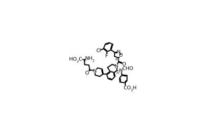 N[C@@H](CCC(=O)N1CC=C(c2cccc3c2CCN(C(=O)[C@H]2CC(c4cccc(Cl)c4F)=NO2)[C@@H]3N(C=O)c2ccc(C(=O)O)cc2)CC1)C(=O)O